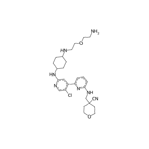 N#CC1(CNc2cccc(-c3cc(NC4CCC(NCCOCCN)CC4)ncc3Cl)n2)CCOCC1